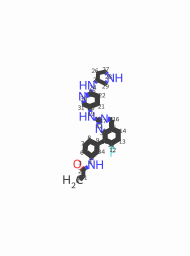 C=CC(=O)Nc1cccc(-c2c(F)ccc3cnc(Nc4ccc(NC5CCNC5)nc4)nc23)c1